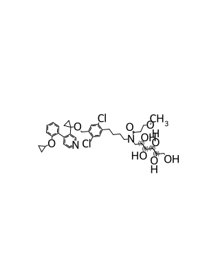 COCCC(=O)N(CCCCc1cc(Cl)c(COC2(c3cnccc3-c3ccccc3OC3CC3)CC2)cc1Cl)C[C@H](O)[C@@H](O)[C@H](O)[C@H](O)CO